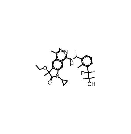 CCOC1(C)C(=O)N(C2CC2)c2cc3c(N[C@H](C)c4cccc(C(F)(F)C(C)(C)O)c4C)nnc(C)c3cc21